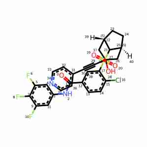 O=C(Nc1cc(F)c(F)c(F)c1)c1ccc(Cl)c(S(=O)(=O)C2[C@H]3CC[C@H]2CC(O)(C#Cc2ccncc2)C3)c1